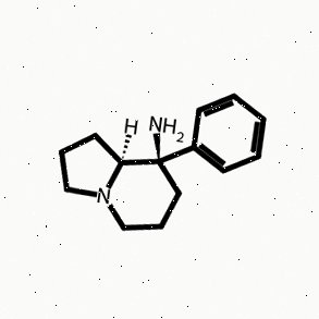 N[C@@]1(c2ccccc2)CCCN2CCC[C@H]21